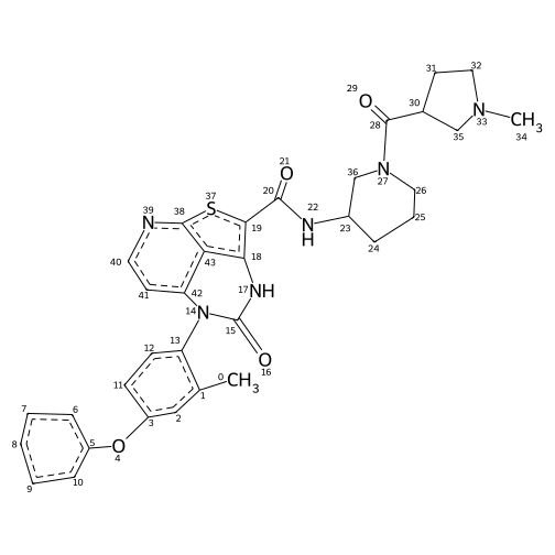 Cc1cc(Oc2ccccc2)ccc1N1C(=O)Nc2c(C(=O)NC3CCCN(C(=O)C4CCN(C)C4)C3)sc3nccc1c23